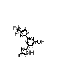 Cc1c[nH]c(-c2cc(O)nc(-c3nc(C(F)(F)F)cs3)n2)n1